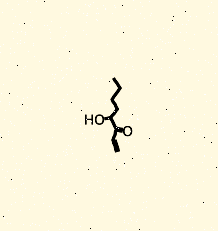 C=CC(=O)C(O)CCCC